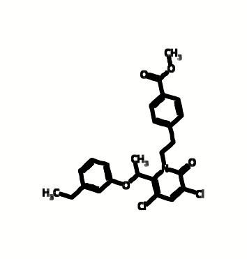 CCc1cccc(OC(C)c2c(Cl)cc(Cl)c(=O)n2CCc2ccc(C(=O)OC)cc2)c1